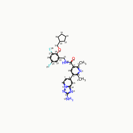 Cc1nc(C)c(-c2ccn3nc(N)nc3c2)cc1C(=O)NCc1cc(F)cc(F)c1OCC1CCCC1